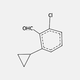 O=Cc1c(Cl)cccc1C1CC1